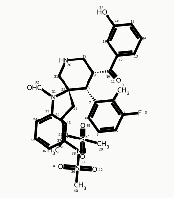 Cc1c(F)cccc1[C@H]1[C@@H](C(=O)c2cccc(O)c2)CNC[C@@]1(CCN(C)S(C)(=O)=O)N(C=O)c1cccc(NS(C)(=O)=O)c1